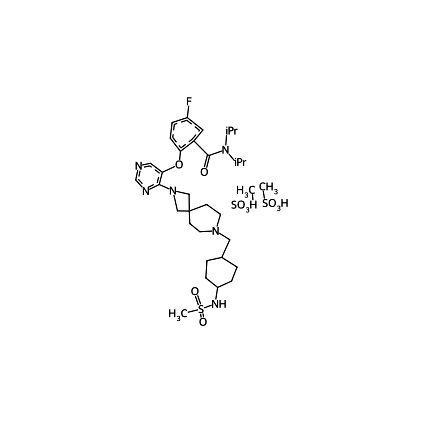 CC(C)N(C(=O)c1cc(F)ccc1Oc1cncnc1N1CC2(CCN(CC3CCC(NS(C)(=O)=O)CC3)CC2)C1)C(C)C.CS(=O)(=O)O.CS(=O)(=O)O